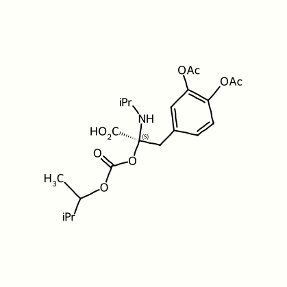 CC(=O)Oc1ccc(C[C@](NC(C)C)(OC(=O)OC(C)C(C)C)C(=O)O)cc1OC(C)=O